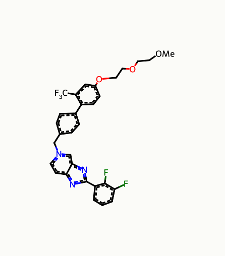 COCCOCCOc1ccc(-c2ccc(Cn3ccc4nc(-c5cccc(F)c5F)nc-4c3)cc2)c(C(F)(F)F)c1